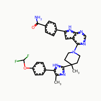 Cc1nc(C2(C)CCN(c3ncnc4[nH]c(-c5ccc(C(N)=O)cc5)cc34)CC2)[nH]c1-c1ccc(OC(F)F)cc1